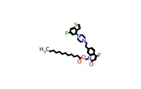 CCCCCCCCCCCC(=O)OCn1c(=O)cc(F)c2ccc(CCN3CCN(c4cc(F)cc5sccc45)CC3)cc21